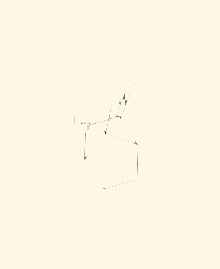 CC1(C)C2CCC1C(=O)O2